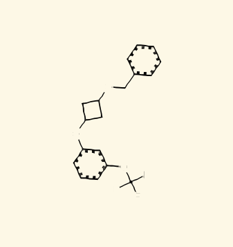 FC(F)(F)Oc1cccc(OC2CC(OCc3ccccc3)C2)c1